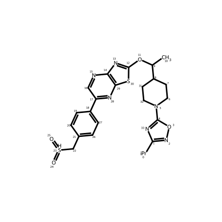 CC(C)c1noc(N2CCC(C(C)Oc3nc4ncc(-c5ccc(C[SH](=O)=O)cc5)nc4s3)CC2)n1